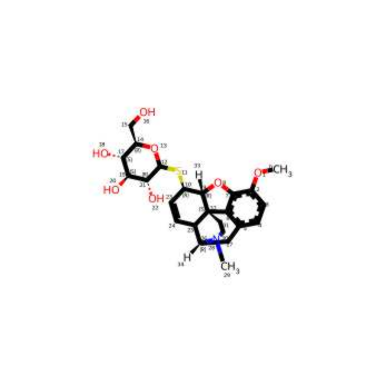 COc1ccc2c3c1O[C@H]1[C@H](SC4O[C@H](CO)[C@@H](O)[C@H](O)[C@H]4O)C=CC4[C@@H](C2)N(C)CC[C@@]341